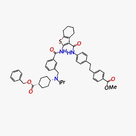 COC(=O)c1ccc(CCc2ccc(NC(=O)c3c(NC(=O)c4cccc(CN(C(C)C)[C@H]5CC[C@@H](C(=O)OCc6ccccc6)CC5)c4)sc4c3CCCC4)cc2)cc1